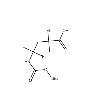 C=C(O)C(C)(CC)CC(C)(CC)NC(=O)OC(C)(C)C